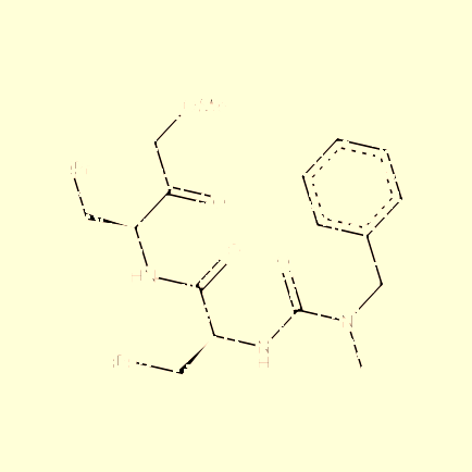 COCC(=O)[C@H](CC(C)C)NC(=O)[C@H](CC(C)C)NC(=O)N(C)Cc1ccccc1